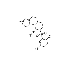 [N-]=[N+]=C1C2=C(CCc3cc(Cl)ccc32)CCC1S(=O)(=O)c1cc(Cl)ccc1Cl